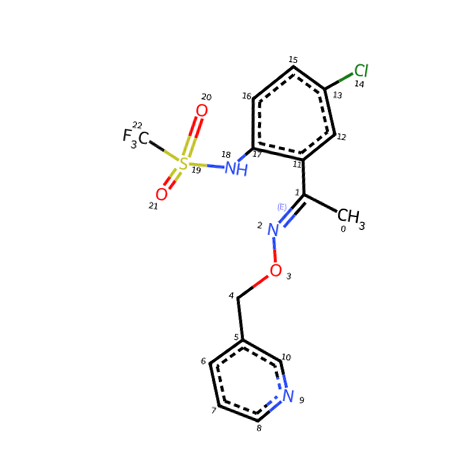 C/C(=N\OCc1cccnc1)c1cc(Cl)ccc1NS(=O)(=O)C(F)(F)F